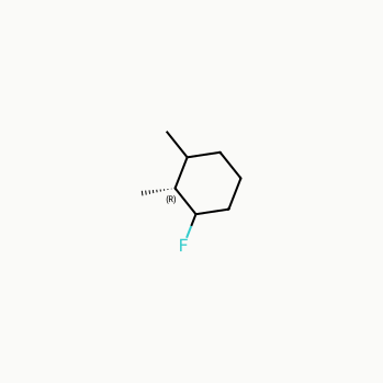 CC1CCCC(F)[C@@H]1C